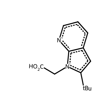 CC(C)(C)c1cc2cccnc2n1CC(=O)O